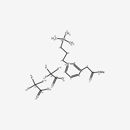 COC(=O)Cc1ccc[n+](CCC[N+](C)(C)C)c1.O=C([O-])C(F)(F)F.O=C([O-])C(F)(F)F